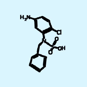 Nc1ccc(Cl)c(N(Cc2ccccc2)S(=O)(=O)O)c1